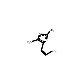 C/C=C\c1oc(C)nc1C